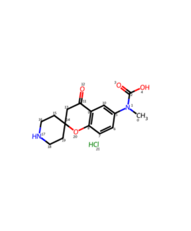 CN(C(=O)O)c1ccc2c(c1)C(=O)CC1(CCNCC1)O2.Cl